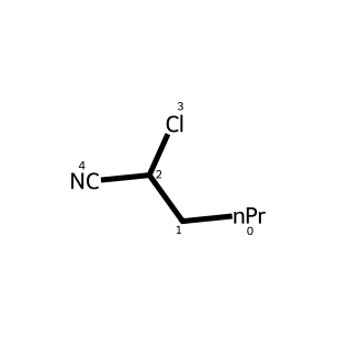 CCCCC(Cl)C#N